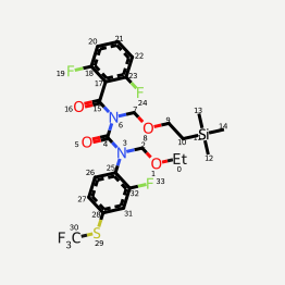 CCOCN(C(=O)N(COCC[Si](C)(C)C)C(=O)c1c(F)cccc1F)c1ccc(SC(F)(F)F)cc1F